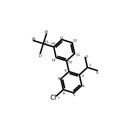 CC(C)c1ccc(Cl)cc1-c1cccc(C(C)(C)C)c1